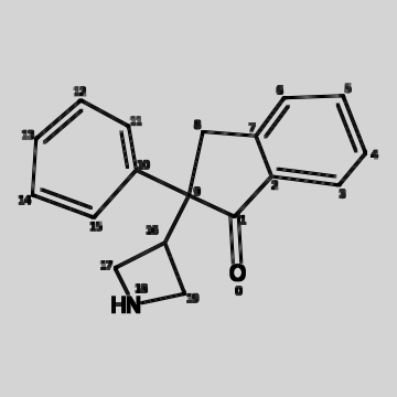 O=C1c2ccccc2CC1(c1ccccc1)C1CNC1